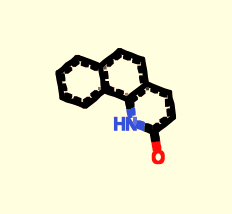 O=c1ccc2ccc3ccccc3c2[nH]1